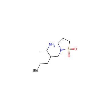 CC(N)C(CCC(C)(C)C)CN1CCCS1(=O)=O